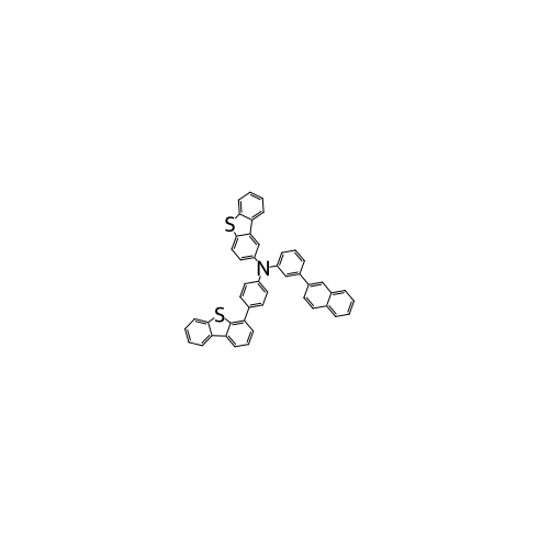 c1cc(-c2ccc3ccccc3c2)cc(N(c2ccc(-c3cccc4c3sc3ccccc34)cc2)c2ccc3sc4ccccc4c3c2)c1